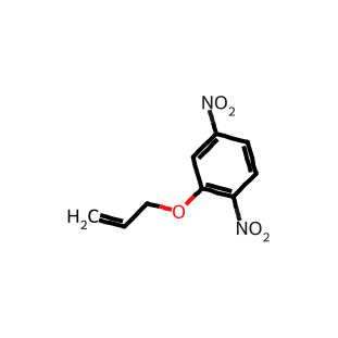 C=CCOc1cc([N+](=O)[O-])ccc1[N+](=O)[O-]